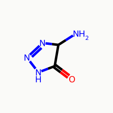 NC1N=NNC1=O